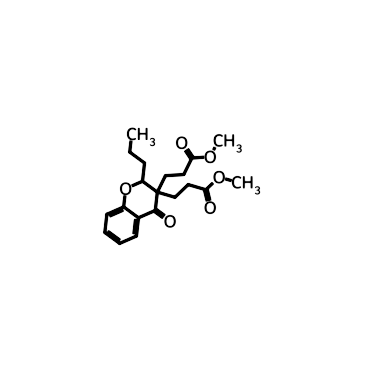 CCCC1Oc2ccccc2C(=O)C1(CCC(=O)OC)CCC(=O)OC